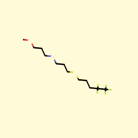 COCCCNCCC[S+]([O-])CCCC(F)(F)C(F)(F)F